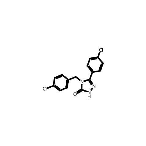 O=c1[nH]nc(-c2ccc(Cl)cc2)n1Cc1ccc(Cl)cc1